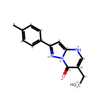 Cc1ccc(-c2cc3[nH]cc(CC(=O)O)c(=O)n3n2)cc1